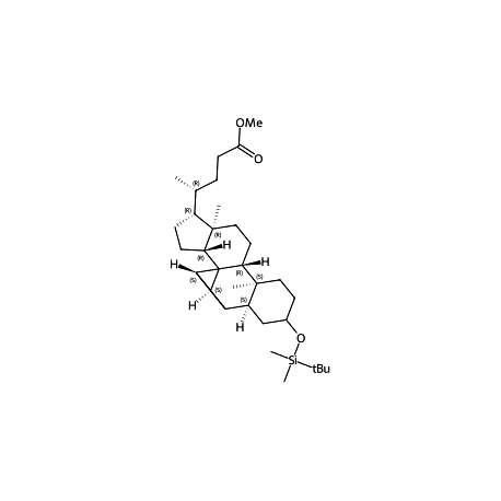 COC(=O)CC[C@@H](C)[C@H]1CC[C@H]2C34[C@H]5C([C@@H]53)[C@@H]3CC(O[Si](C)(C)C(C)(C)C)CC[C@]3(C)[C@H]4CC[C@]12C